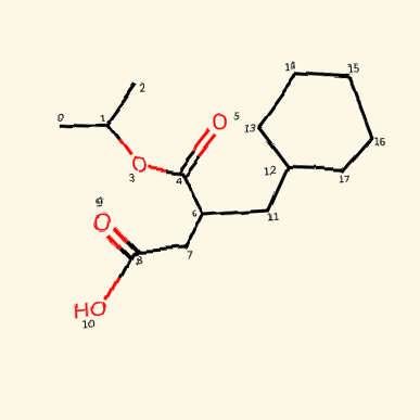 CC(C)OC(=O)C(CC(=O)O)CC1CCCCC1